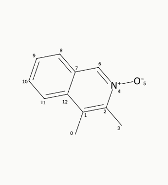 Cc1c(C)[n+]([O-])cc2ccccc12